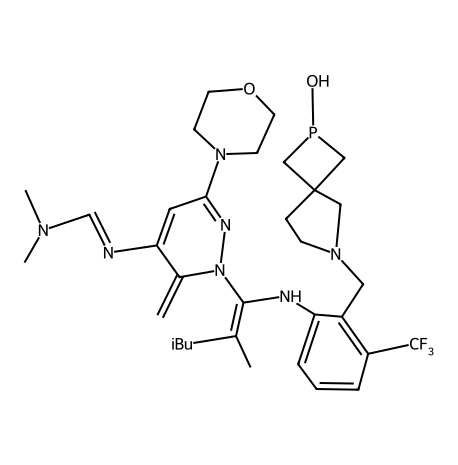 C=C1C(/N=C/N(C)C)=CC(N2CCOCC2)=NN1/C(Nc1cccc(C(F)(F)F)c1CN1CCC2(C1)CP(O)C2)=C(/C)C(C)CC